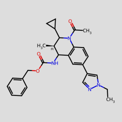 CCn1cc(-c2ccc3c(c2)C(NC(=O)OCc2ccccc2)[C@@H](C)C(C2CC2)N3C(C)=O)cn1